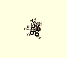 COc1ccc(C(c2ccccc2)(c2ccc(OC)cc2)[C@@]2(n3cnc4c(=O)[nH]c(NC(=O)C(C)C)nc43)O[C@H](CO)[C@@H](O)[C@]2(O)F)cc1